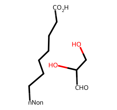 CCCCCCCCCCCCCCCC(=O)O.O=CC(O)CO